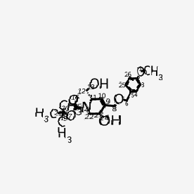 COc1ccc(COCC2=C[C@@H](CO)N(C(=O)OC(C)(C)C)C[C@H]2O)cc1